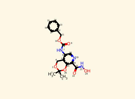 CC1(C)OCc2c(NC(=O)OCc3ccccc3)cnc(C(=O)NO)c2O1